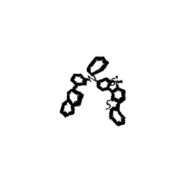 C[Si]1(C)c2cc(N(c3ccccc3)c3cccc(-c4ccc5ccccc5c4)c3)ccc2-c2c1ccc1c2sc2ccccc21